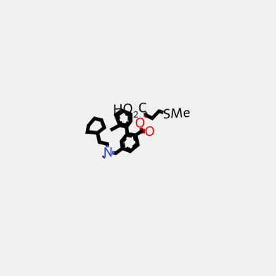 CSCCC(OC(=O)c1ccc(CN(C)CCC2CCCCC2)cc1-c1ccccc1C)C(=O)O